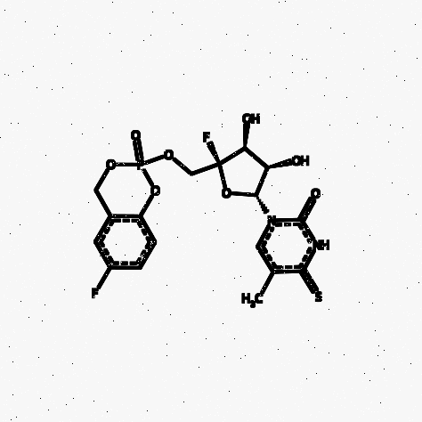 Cc1cn([C@@H]2O[C@](F)(COP3(=O)OCc4cc(F)ccc4O3)[C@@H](O)[C@H]2O)c(=O)[nH]c1=S